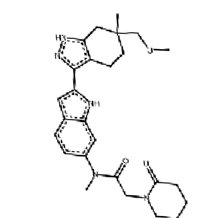 COCC1(C)CCc2c(-c3cc4ccc(N(C)C(=O)CN5CCCCC5=O)cc4[nH]3)n[nH]c2C1